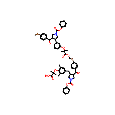 CSc1ccc(C(=O)C2CN(C(=O)Oc3ccccc3)CC2c2cccc(OC(C)(C)C(=O)OCSc3ccc(C(=O)C4CN(C(=O)Oc5ccccc5)CC4Cc4cc(C)c(OC(C)(C)C(=O)O)c(C)c4)cc3)c2)cc1